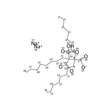 CCCCCCCCC(CCCCCCCC)(C(=O)[O-])C(CCCCCCCC)(C(=O)[O-])S(=O)(=O)O.[Na+].[Na+]